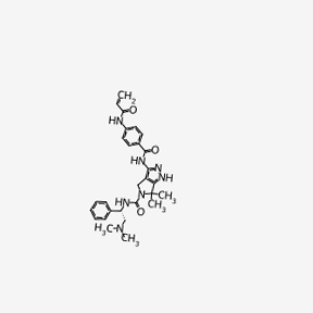 C=CC(=O)Nc1ccc(C(=O)Nc2n[nH]c3c2CN(C(=O)N[C@H](CN(C)C)c2ccccc2)C3(C)C)cc1